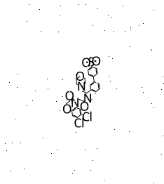 CN(C(=O)CN1C(=O)COc2cc(Cl)c(Cl)cc21)C(CN1CCOCC1)c1cccc(-c2ccc(S(C)(=O)=O)cc2)c1